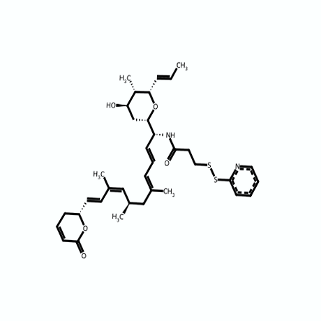 C/C=C/[C@@H]1O[C@H]([C@@H](/C=C/C=C(\C)C[C@@H](C)/C=C(C)\C=C\[C@H]2CC=CC(=O)O2)NC(=O)CCSSc2ccccn2)C[C@@H](O)[C@@H]1C